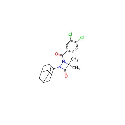 CC1(C)C(=O)N(C2C3CC4CC(C3)CC2C4)N1C(=O)c1ccc(Cl)c(Cl)c1